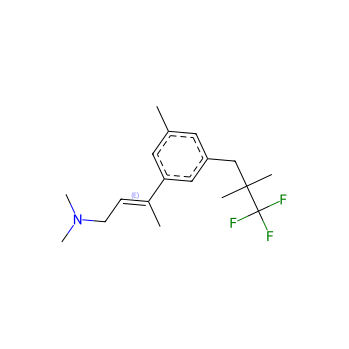 C/C(=C\CN(C)C)c1cc(C)cc(CC(C)(C)C(F)(F)F)c1